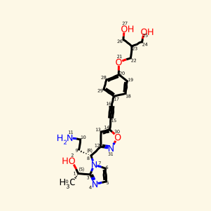 C[C@H](O)c1nccn1[C@H](CCN)c1cc(C#Cc2ccc(OCC(CO)CO)cc2)on1